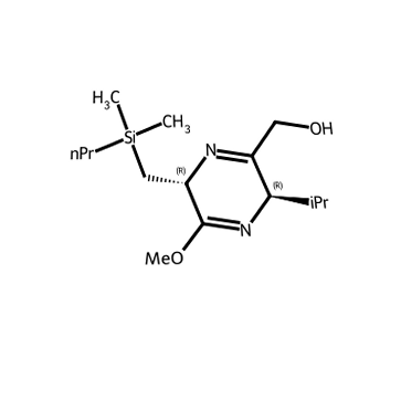 CCC[Si](C)(C)C[C@@H]1N=C(CO)[C@@H](C(C)C)N=C1OC